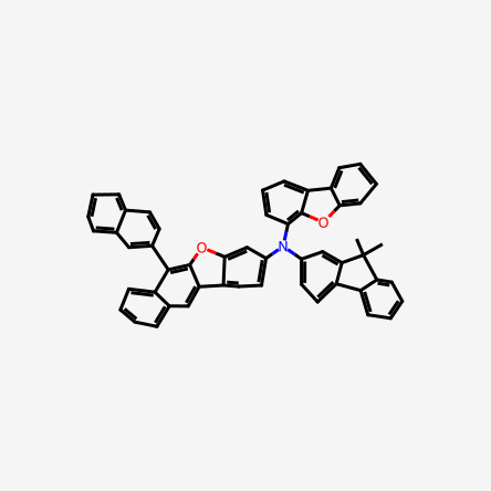 CC1(C)c2ccccc2-c2ccc(N(c3ccc4c(c3)oc3c(-c5ccc6ccccc6c5)c5ccccc5cc34)c3cccc4c3oc3ccccc34)cc21